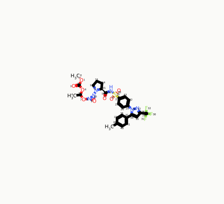 COC(=O)OC(C)On1on1N1CCC[C@H]1C(=O)NS(=O)(=O)c1ccc(-n2nc(C(F)(F)F)cc2-c2ccc(C)cc2)cc1